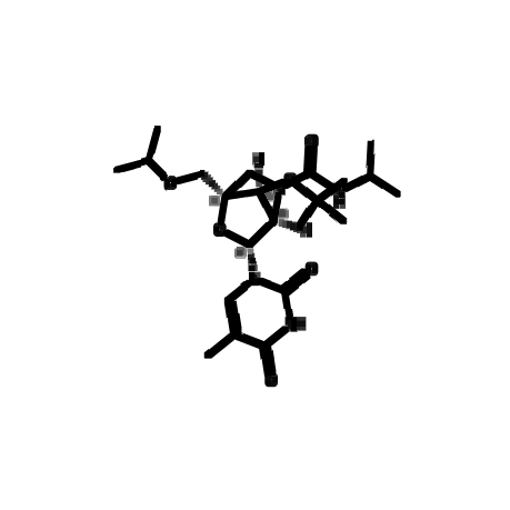 Cc1cn([C@@H]2O[C@@]3(COC(C)C)CN(C(=O)NC(C)C)[C@@H]2[C@@H]3OC(C)(C)C)c(=O)[nH]c1=O